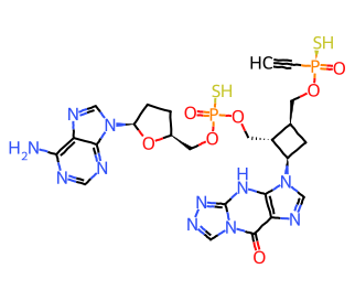 C#C[P@@](=O)(S)OC[C@H]1C[C@@H](n2cnc3c(=O)n4cnnc4[nH]c32)[C@@H]1COP(=O)(S)OC[C@@H]1CC[C@H](n2cnc3c(N)ncnc32)O1